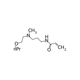 C=CC(=O)NCCCN(C)CCOCCC